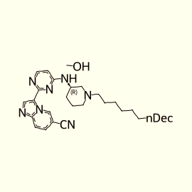 CCCCCCCCCCCCCCCCN1CCC[C@@H](Nc2ccnc(-c3cnc4ccc(C#N)cn34)n2)C1.CO